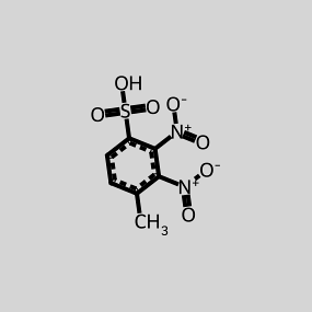 Cc1ccc(S(=O)(=O)O)c([N+](=O)[O-])c1[N+](=O)[O-]